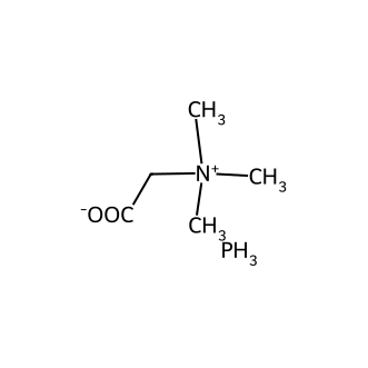 C[N+](C)(C)CC(=O)[O-].P